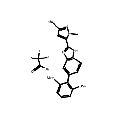 COc1cccc(OC)c1-c1ccc2[nH]c(-c3cc(C(C)(C)C)nn3C)nc2c1.O=C(O)C(F)(F)F